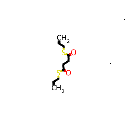 C=CCSC(=O)CCC(=O)SCC=C